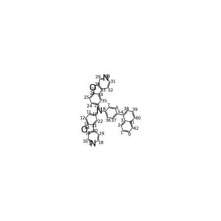 c1ccc2c(-c3ccc(N(c4ccc5oc6cnccc6c5c4)c4ccc5oc6cnccc6c5c4)cc3)cccc2c1